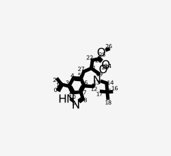 C=C(C)c1cc2c(c3cn[nH]c13)CN(CC(C)(C)C)C(=O)C(CC(=O)OC)C2